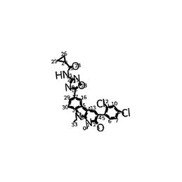 Cn1c(=O)c(-c2ccc(Cl)cc2Cl)cc2c3cc(-c4nc(NC(=O)C5CC5)no4)ccc3n(C)c21